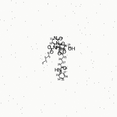 CCCCCOC(=O)Nc1ccnc(=O)n1[C@@H]1O[C@H](CO)[C@@H](OC(=O)CCCCC(=O)Nc2ccccc2)C1(F)F